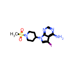 CS(=O)(=O)N1CCC(n2cc(I)c3c(N)ncnc32)CC1